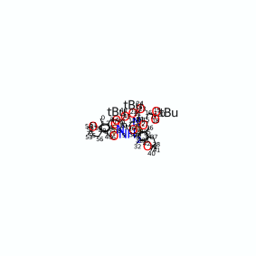 Cc1c(C)c(S(=O)(=O)N(N)[C@@H](CCN([C@@H](CCC(=O)OC(C)(C)C)C(=O)OC(C)(C)C)S(=O)(=O)c2c(C)c(C)c3c(c2C)CCC(C)(C)O3)C(=O)OC(C)(C)C)c(C)c2c1OC(C)(C)CC2